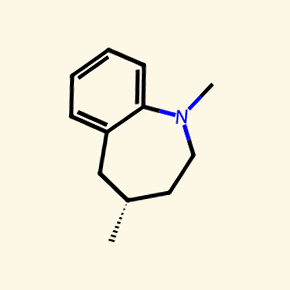 C[C@H]1CCN(C)c2ccccc2C1